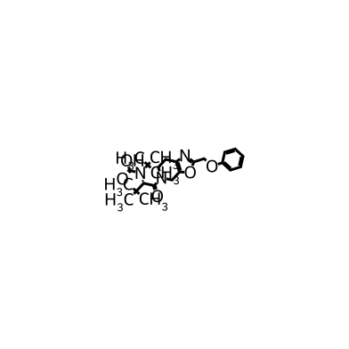 CC(C)(C)[C@@H](C(=O)N1CCc2nc(COc3ccccc3)oc2C1)N(C(=O)O)C(C)(C)C